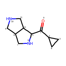 O=C(C1CC1)C1NCC2CNCC21